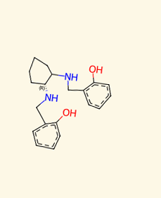 Oc1ccccc1CNC1CCCC[C@H]1NCc1ccccc1O